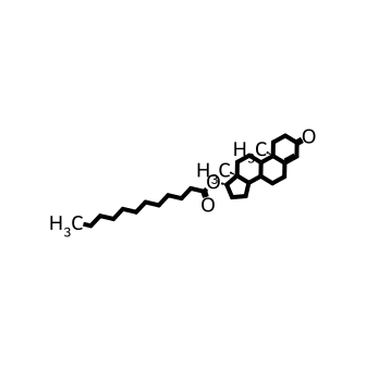 CCCCCCCCCCCC(=O)O[C@H]1CCC2C3CCC4=CC(=O)CC[C@]4(C)C3CC[C@@]21C